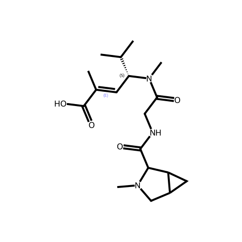 C/C(=C\[C@H](C(C)C)N(C)C(=O)CNC(=O)C1C2CC2CN1C)C(=O)O